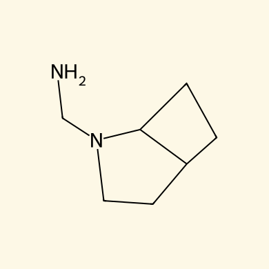 NCN1CCC2CCC21